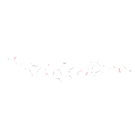 C=CC(=O)OCOc1ccc(C(=O)Oc2ccc3c(c2)C(C)c2cc(OC(=O)c4ccc(OCOC(=O)C=C)cc4)ccc2-3)cc1